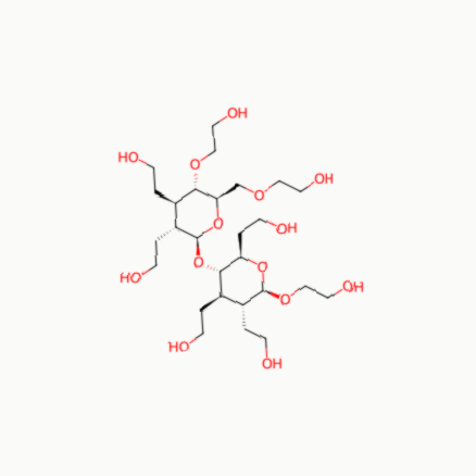 OCCOC[C@H]1O[C@@H](O[C@H]2[C@H](CCO)[C@@H](CCO)[C@H](OCCO)O[C@@H]2CCO)[C@H](CCO)[C@@H](CCO)[C@@H]1OCCO